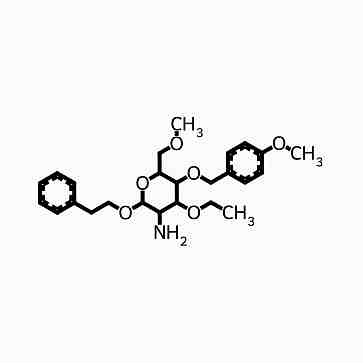 CCOC1C(N)C(OCCc2ccccc2)OC(COC)C1OCc1ccc(OC)cc1